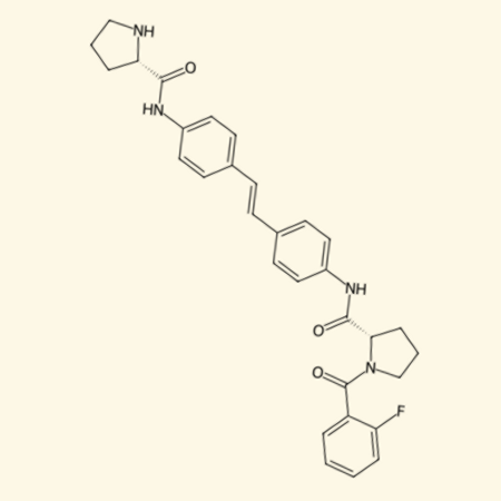 O=C(Nc1ccc(/C=C/c2ccc(NC(=O)[C@@H]3CCCN3C(=O)c3ccccc3F)cc2)cc1)[C@@H]1CCCN1